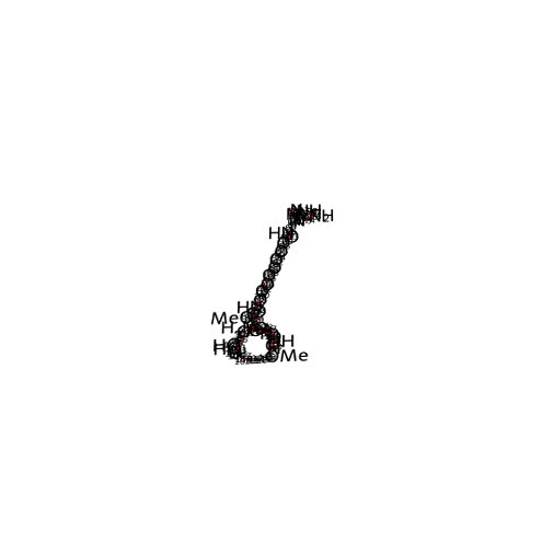 CO[C@H]1C[C@@H]2CC[C@@H](C)[C@@](O)(O2)C(=O)C(=O)N2CCCC[C@H]2C(=O)O[C@H]([C@H](N)C[C@@H]2CC[C@@H](OC(=O)NCCOCCOCCOCCOCCOCCOCCOCCOCCC(=O)NCCCCn3nc(-c4ccc5[nH]ccc5c4)c4c(N)ncnc43)[C@H](OC)C2)CC(=O)[C@H](C)/C=C(\C)[C@@H](O)[C@@H](O)C(=O)[C@H](C)C[C@H](C)/C=C/C=C/C=C/1C